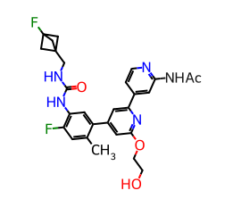 CC(=O)Nc1cc(-c2cc(-c3cc(NC(=O)NCC45CC(F)(C4)C5)c(F)cc3C)cc(OCCO)n2)ccn1